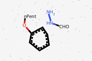 CCCCCOc1ccccc1.NNC=O